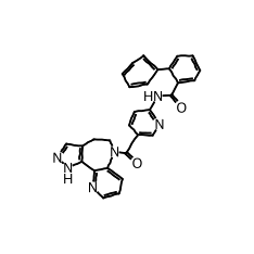 O=C(Nc1ccc(C(=O)N2CCc3cn[nH]c3-c3ncccc32)cn1)c1ccccc1-c1ccccc1